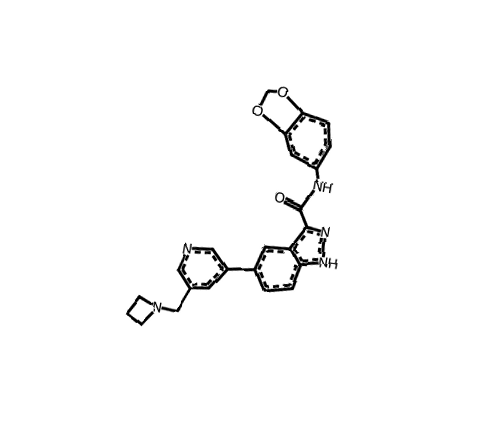 O=C(Nc1ccc2c(c1)OCO2)c1n[nH]c2ccc(-c3cncc(CN4CCC4)c3)cc12